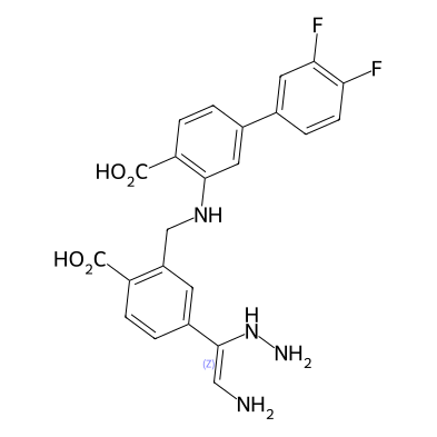 N/C=C(\NN)c1ccc(C(=O)O)c(CNc2cc(-c3ccc(F)c(F)c3)ccc2C(=O)O)c1